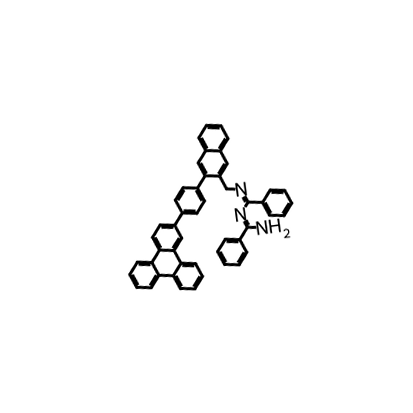 N/C(=N\C(=N/Cc1cc2ccccc2cc1-c1ccc(-c2ccc3c4ccccc4c4ccccc4c3c2)cc1)c1ccccc1)c1ccccc1